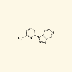 Cc1cccc(-n2nnc3cnccc32)n1